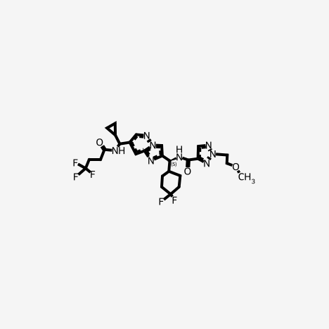 COCCn1ncc(C(=O)N[C@H](c2cn3ncc(C(NC(=O)CCC(F)(F)F)C4CC4)cc3n2)C2CCC(F)(F)CC2)n1